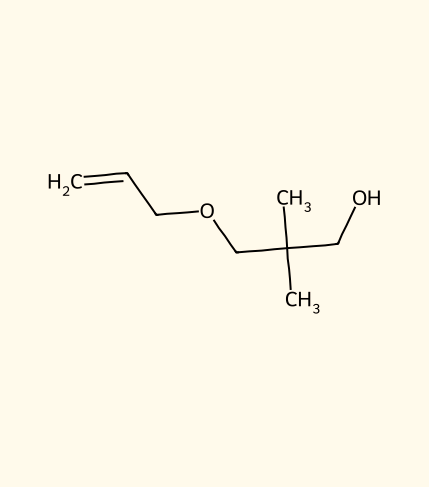 C=CCOCC(C)(C)CO